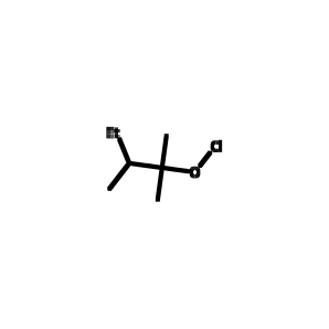 CCC(C)C(C)(C)OCl